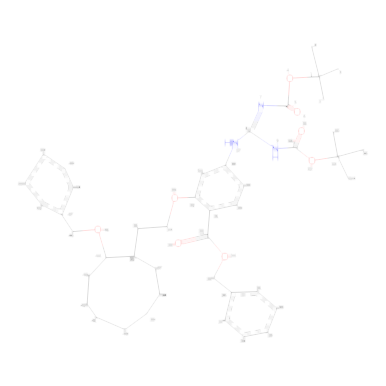 CC(C)(C)OC(=O)/N=C(\NC(=O)OC(C)(C)C)Nc1ccc(C(=O)OCc2ccccc2)c(OCCC2CCCCCCCC2OCc2ccccc2)c1